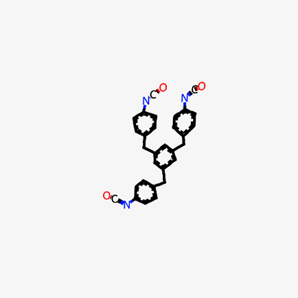 O=C=Nc1ccc(Cc2cc(Cc3ccc(N=C=O)cc3)cc(Cc3ccc(N=C=O)cc3)c2)cc1